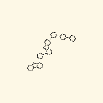 c1ccc(-c2ccc(-c3cccc(-c4ccc5sc6c(-c7cccc(-c8cccc9c8sc8ccccc89)c7)cccc6c5c4)c3)cc2)cc1